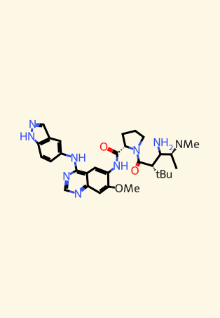 CN[C@@H](C)C(N)[C@@H](C(=O)N1CCC[C@H]1C(=O)Nc1cc2c(Nc3ccc4[nH]ncc4c3)ncnc2cc1OC)C(C)(C)C